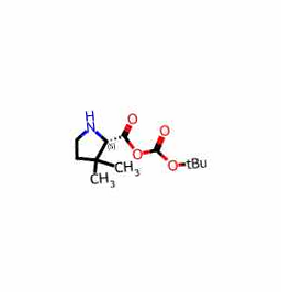 CC(C)(C)OC(=O)OC(=O)[C@H]1NCCC1(C)C